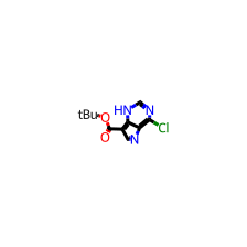 CC(C)(C)OC(=O)c1cnc2c(Cl)nc[nH]c1-2